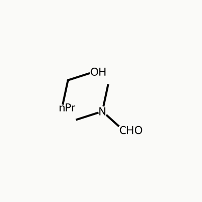 CCCCO.CN(C)C=O